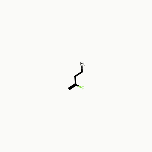 [CH]=C(F)CCCC